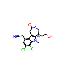 Cn1c2c(c3c(CC#N)cc(Cl)c(Cl)c31)CC(=O)NC[C@H]2CCO